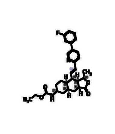 CCOC(=O)N[C@H]1CC[C@@H]2[C@H](C1)C[C@H]1C(=O)O[C@H](C)[C@@H]1[C@@H]2/C=C/c1ccc(-c2cccc(F)c2)cn1